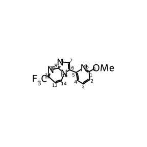 COc1cccc(-c2cnc3nc(C(F)(F)F)ccn23)n1